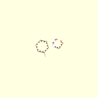 O=S(=O)(O)c1ccccc1.c1conn1